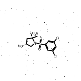 C[C@@]1(C(=O)O)C[C@@H](O)CN1S(=O)(=O)c1cc(Cl)cc(Cl)c1